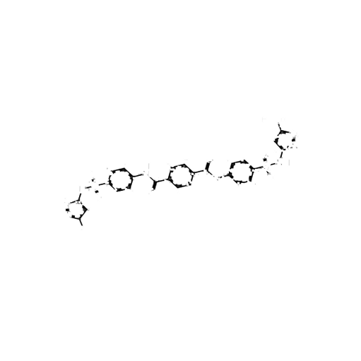 Cc1cc(NS(=O)(=O)c2ccc(NC(=O)c3ccc(C(=O)Nc4ccc(S(=O)(=O)Nc5cc(C)on5)cc4)cc3)cc2)no1